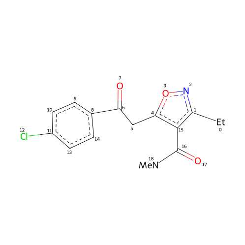 CCc1noc(CC(=O)c2ccc(Cl)cc2)c1C(=O)NC